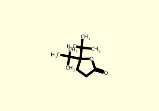 CC(C)(C)C1(C(C)(C)C)CCC(=O)O1